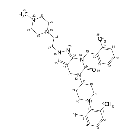 Cc1cccc(F)c1N1CCC(N2Cc3cn(CCN4CCN(C)CC4)nc3N(Cc3ccccc3C(F)(F)F)C2=O)CC1